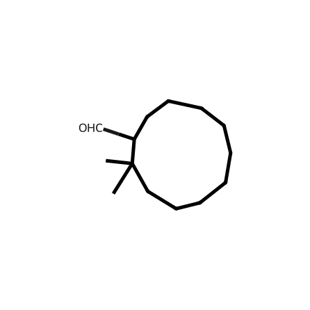 CC1(C)CCCCCCCCCC1C=O